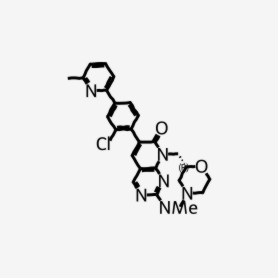 CNc1ncc2cc(-c3ccc(-c4cccc(C)n4)cc3Cl)c(=O)n(C[C@H]3CN(C)CCO3)c2n1